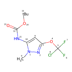 Cn1nc(OC(F)(F)Cl)cc1NC(=O)OC(C)(C)C